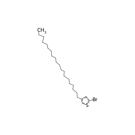 CCCCCCCCCCCCCCCCCCCCc1csc(Br)c1